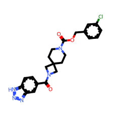 O=C(OCc1cccc(Cl)c1)N1CCC2(CC1)CN(C(=O)c1ccc3[nH]nnc3c1)C2